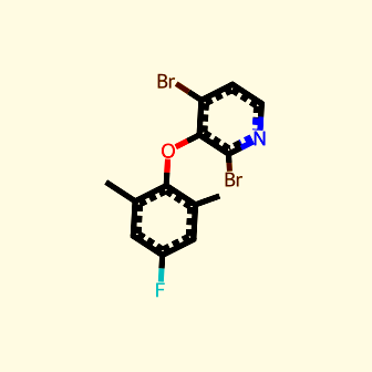 Cc1cc(F)cc(C)c1Oc1c(Br)ccnc1Br